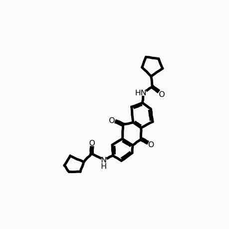 O=C1c2ccc(NC(=O)C3CCCC3)cc2C(=O)c2cc(NC(=O)C3CCCC3)ccc21